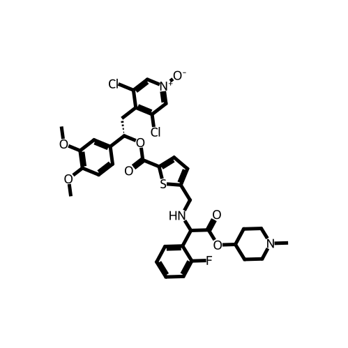 COc1ccc([C@H](Cc2c(Cl)c[n+]([O-])cc2Cl)OC(=O)c2ccc(CNC(C(=O)OC3CCN(C)CC3)c3ccccc3F)s2)cc1OC